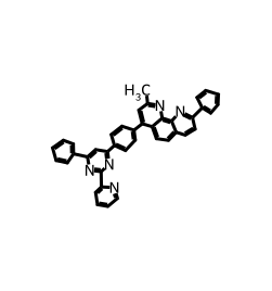 Cc1cc(-c2ccc(-c3cc(-c4ccccc4)nc(-c4ccccn4)n3)cc2)c2ccc3ccc(-c4ccccc4)nc3c2n1